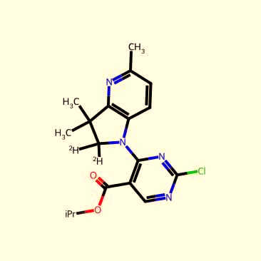 [2H]C1([2H])N(c2nc(Cl)ncc2C(=O)OC(C)C)c2ccc(C)nc2C1(C)C